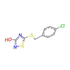 Oc1nsc(SCc2ccc(Cl)cc2)n1